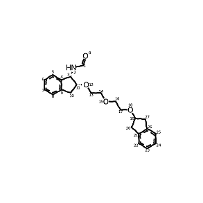 O=CN[C@H]1c2ccccc2C[C@H]1OCCOCCOC1Cc2ccccc2C1